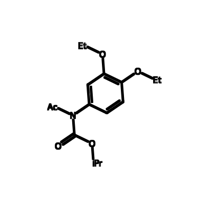 CCOc1ccc(N(C(C)=O)C(=O)OC(C)C)cc1OCC